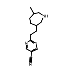 CC1CCC(CCc2ncc(C#N)cn2)CNC1